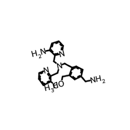 Cc1cccnc1CN(Cc1ccc(CN)cc1CO)Cc1ncccc1N